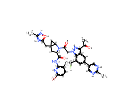 CC(=O)c1nn(CC(=O)N2C(C(=O)Nc3nc(Br)ccc3C)CC3(Cc4nc(C)no4)CC23)c2c(CF)cc(-c3cnc(C)nc3)cc12